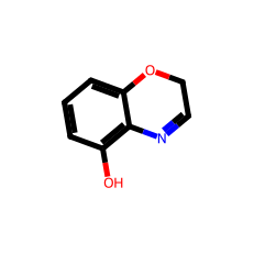 Oc1cccc2c1N=CCO2